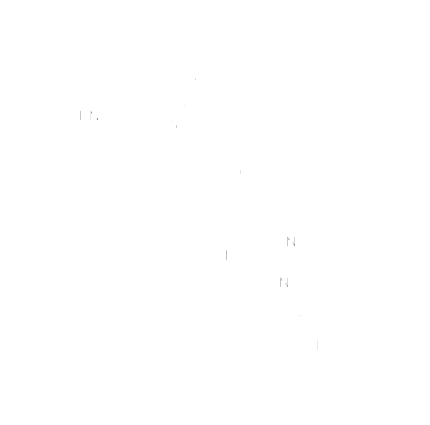 Cc1nc2c(C(F)(F)F)cccc2n1-c1cccc(Oc2cccc(S(=O)(=O)CCCN)c2)c1